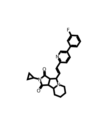 O=C1C2C(C(=O)N1C1CC1)C1CCCCN1C2C=Cc1ccc(-c2cccc(F)c2)cn1